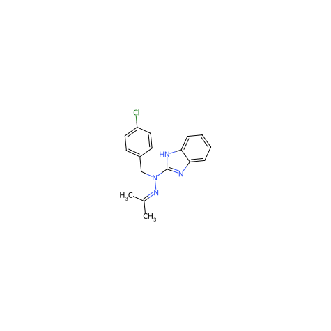 CC(C)=NN(Cc1ccc(Cl)cc1)c1nc2ccccc2[nH]1